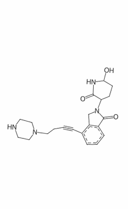 O=C1NC(O)CCC1N1Cc2c(C#CCCN3CCNCC3)cccc2C1=O